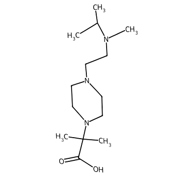 CC(C)N(C)CCN1CCN(C(C)(C)C(=O)O)CC1